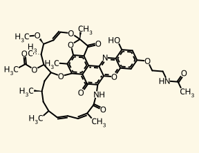 CO[C@H]1/C=C/O[C@@]2(C)Oc3c(C)c4c5c(=O)c(c6oc7cc(OCCNC(C)=O)cc(O)c7nc-6c5c3C2=O)NC(=O)/C(C)=C\C=C\C(C)C[C@@H](C)CC(O4)C(OC(C)=O)[C@@H]1C